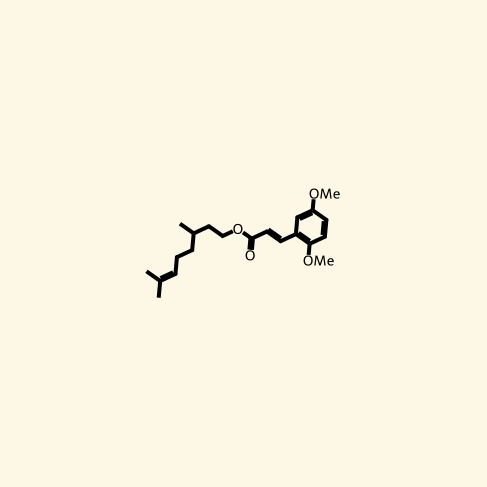 COc1ccc(OC)c(/C=C/C(=O)OCCC(C)CCC=C(C)C)c1